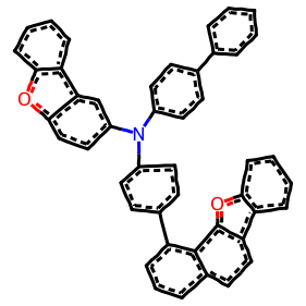 c1ccc(-c2ccc(N(c3ccc(-c4cccc5ccc6c7ccccc7oc6c45)cc3)c3ccc4oc5ccccc5c4c3)cc2)cc1